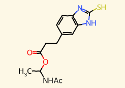 CC(=O)NC(C)OC(=O)CCc1ccc2nc(S)[nH]c2c1